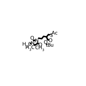 CC(=O)SCC(CCCN1C(=O)N(C)C(C)(C)C1=O)C(=O)OC(C)(C)C